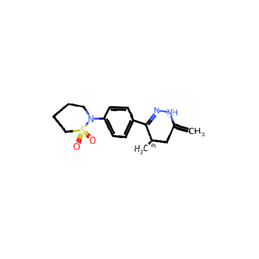 C=C1C[C@@H](C)C(c2ccc(N3CCCCS3(=O)=O)cc2)=NN1